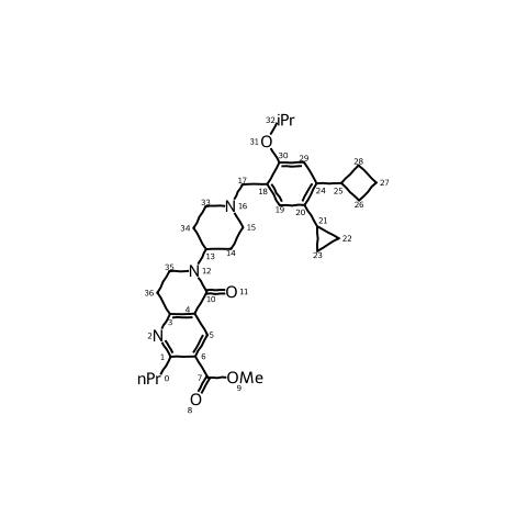 CCCc1nc2c(cc1C(=O)OC)C(=O)N(C1CCN(Cc3cc(C4CC4)c(C4CCC4)cc3OC(C)C)CC1)CC2